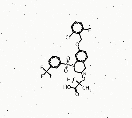 CC(C)(O[C@@H]1Cc2ccc(OCc3c(F)cccc3Cl)cc2N(S(=O)(=O)c2cccc(C(F)(F)F)c2)C1)C(=O)O